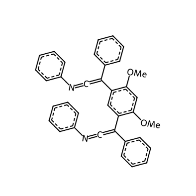 COc1cc(OC)c(C(=C=Nc2ccccc2)c2ccccc2)cc1C(=C=Nc1ccccc1)c1ccccc1